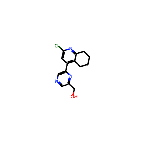 OCc1cncc(-c2cc(Cl)nc3c2CCCC3)n1